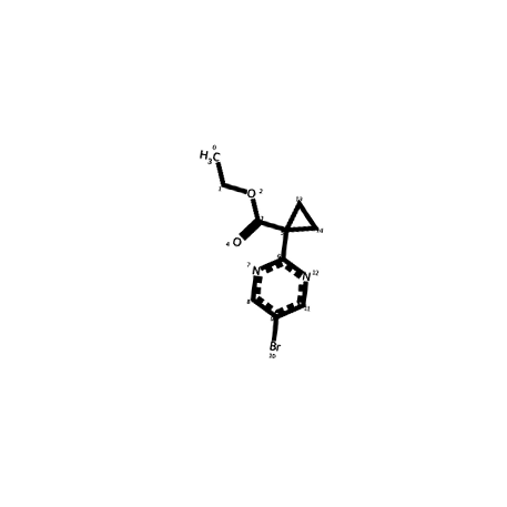 CCOC(=O)C1(c2ncc(Br)cn2)CC1